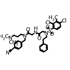 Cc1c(Cl)ccc(S(=O)(=O)N(CCc2ccccc2)CC(=O)NCC(=O)N(CCCN(C)C)Cc2ccc(C#N)cc2)c1Cl